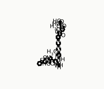 [2H]C([2H])([2H])Oc1ncc(-c2ccnc(N3CCc4c(sc5c4CCCC5)C3=O)c2[C@H](C)O)cc1Nc1ccc(N2CCN(C3CCN(c4ccc5c(c4)C(=O)N(C4CCC(=O)N(C(C)OP(=O)(O)O)C4=O)C5=O)CC3)C[C@@H]2C)cn1